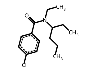 CCCC(CC)N(CC)C(=O)c1ccc(Cl)cc1